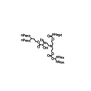 CCCCCCCCCC(CCCCCC)OC(=O)OCCN(CCOC(=O)CCCCCCC)CCN(CC)C(O)C(=O)OCCC(CCCCC)CCCCC